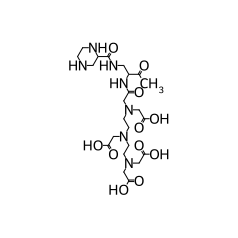 CC(=O)C(CNC(=O)C1CNCCN1)NC(=O)CN(CCN(CCN(CC(=O)O)CC(=O)O)CC(=O)O)CC(=O)O